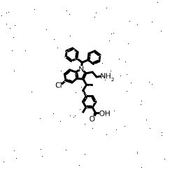 Cc1cc(CC(C)c2c(CCN)n(C(c3ccccc3)c3ccccc3)c3ccc(Cl)cc23)ccc1C(=O)O